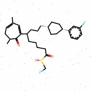 CC1=CCC(C)C(=O)C(C(CCCCC(=O)[S+]([O-])CF)CCC[C@H]2CC[C@@H](c3cccc(F)c3)CC2)=C1